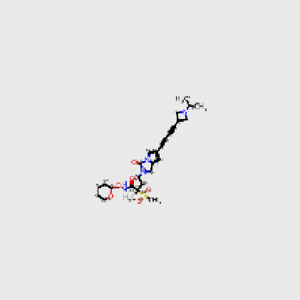 CC(C)N1CC(C#CC#Cc2cc3n(c2)C(=O)N(CCC(C)(C(=O)NOC2CCCCO2)S(C)(=O)=O)C3)C1